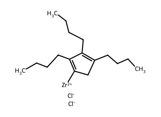 CCCCC1=C(CCCC)C(CCCC)=[C]([Zr+2])C1.[Cl-].[Cl-]